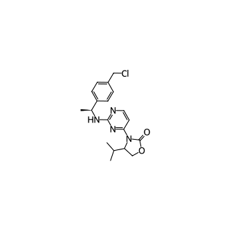 CC(C)C1COC(=O)N1c1ccnc(N[C@@H](C)c2ccc(CCl)cc2)n1